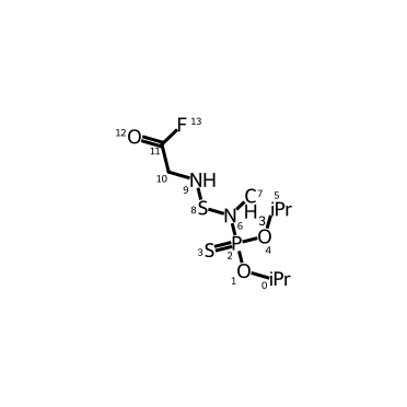 CC(C)OP(=S)(OC(C)C)N(C)SNCC(=O)F